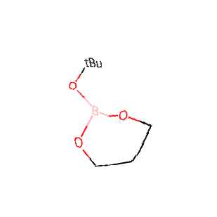 CC(C)(C)OB1OCCCO1